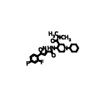 CN(C)C(=O)C1CN(C2CCCCC2)CCC1NC(=O)c1cc(-c2ccc(F)cc2F)on1